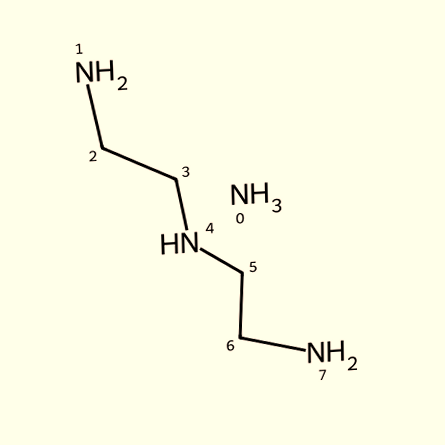 N.NCCNCCN